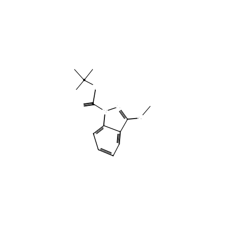 CNc1nn(C(=O)OC(C)(C)C)c2ccccc12